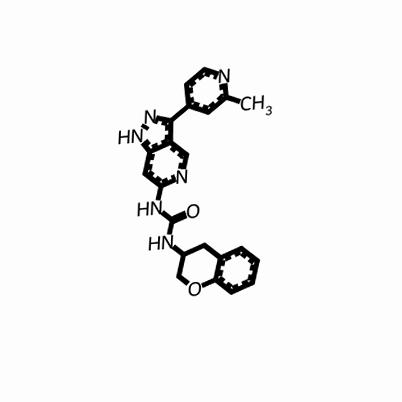 Cc1cc(-c2n[nH]c3cc(NC(=O)NC4COc5ccccc5C4)ncc23)ccn1